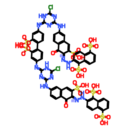 O=C1/C(=N/Nc2ccc3c(S(=O)(=O)O)cccc3c2S(=O)(=O)O)C(S(=O)(=O)O)=Cc2cc(Nc3nc(Cl)[nH]c(=Nc4ccc(-c5ccc(N=c6nc(Nc7ccc8c(c7)C=C(S(=O)(=O)O)/C(=N\Nc7ccc9c(S(=O)(=O)O)cccc9c7S(=O)(=O)O)C8=O)nc(Cl)[nH]6)cc5S(=O)(=O)O)c(S(=O)(=O)O)c4)n3)ccc21